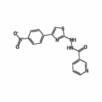 O=C(NNc1nc(-c2ccc([N+](=O)[O-])cc2)cs1)c1cccnc1